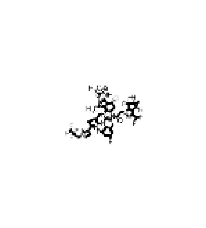 Cn1nc(NS(C)(=O)=O)c2c(Cl)ccc(N3Cc4ccc(-c5ccn(CC(F)(F)C(F)F)n5)nc4N=C3[C@H](Cc3cc(F)cc(F)c3)NC(=O)Cn3nc(C(F)F)c4c3C(F)(F)[C@@H]3C[C@H]43)c21